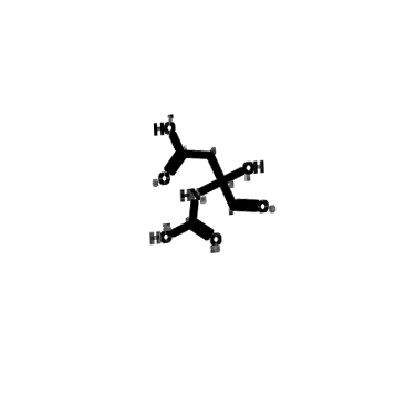 O=CC(O)(CC(=O)O)NC(=O)O